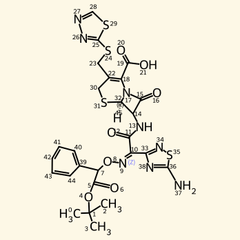 CC(C)(C)OC(=O)C(O/N=C(\C(=O)NC1C(=O)N2C(C(=O)O)=C(CSc3nncs3)CS[C@H]12)c1nsc(N)n1)c1ccccc1